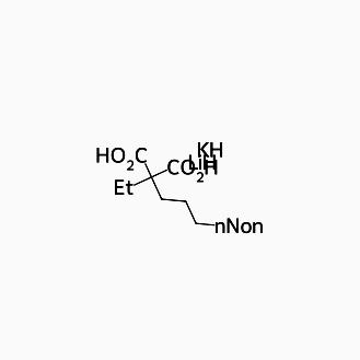 CCCCCCCCCCCCC(CC)(C(=O)O)C(=O)O.[KH].[LiH]